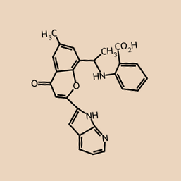 Cc1cc(C(C)Nc2ccccc2C(=O)O)c2oc(-c3cc4cccnc4[nH]3)cc(=O)c2c1